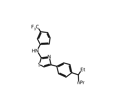 CCCC(CC)c1ccc(-c2csc(Nc3cccc(C(F)(F)F)c3)n2)cc1